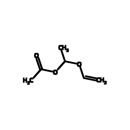 C=COC(C)OC(C)=O